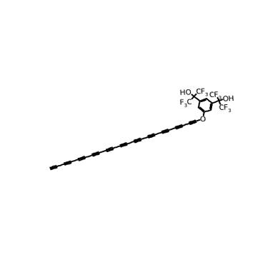 C#CC#CC#CC#CC#CC#CC#CC#CC#CC#CC#COc1cc(C(O)(C(F)(F)F)C(F)(F)F)cc(C(O)(C(F)(F)F)C(F)(F)F)c1